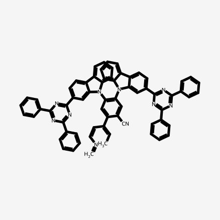 C=N/C=C\C(=C/C)c1cc(-n2c3ccccc3c3ccc(-c4nc(-c5ccccc5)nc(-c5ccccc5)n4)cc32)c(-n2c3ccccc3c3ccc(-c4nc(-c5ccccc5)nc(-c5ccccc5)n4)cc32)cc1C#N